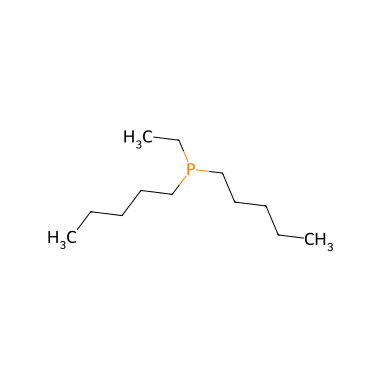 CCCCCP(CC)CCCCC